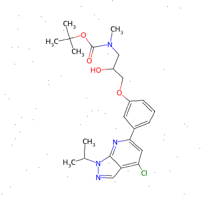 CC(C)n1ncc2c(Cl)cc(-c3cccc(OCC(O)CN(C)C(=O)OC(C)(C)C)c3)nc21